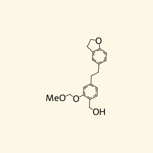 COCOc1cc(CCc2ccc3c(c2)CCO3)ccc1CO